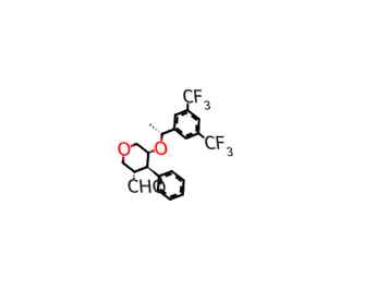 C[C@@H](O[C@@H]1COC[C@@H](C=O)[C@@H]1c1ccccc1)c1cc(C(F)(F)F)cc(C(F)(F)F)c1